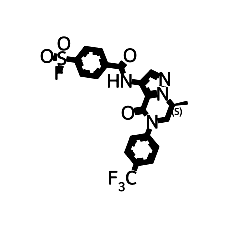 C[C@H]1CN(c2ccc(C(F)(F)F)cc2)C(=O)c2c(NC(=O)c3ccc(S(=O)(=O)F)cc3)cnn21